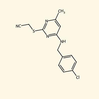 Cc1cc(NCc2ccc(Cl)cc2)nc(SCC#N)n1